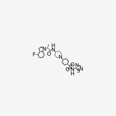 C[C@@H](C(=O)NC1CCN(c2ccc(S(=O)(=O)Nc3ncns3)cc2)CC1)n1ccc2c(F)cccc21